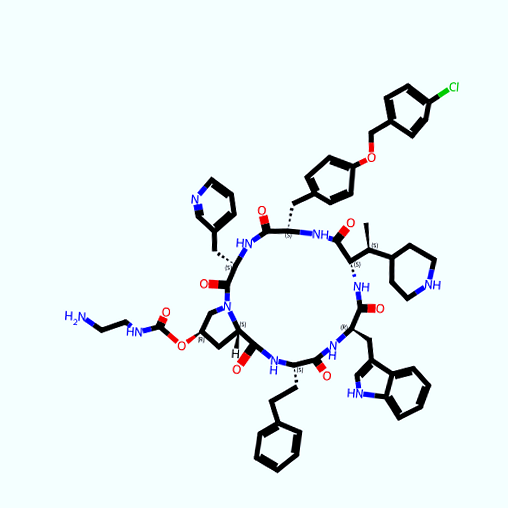 C[C@@H](C1CCNCC1)[C@@H]1NC(=O)[C@@H](Cc2c[nH]c3ccccc23)NC(=O)[C@H](CCc2ccccc2)NC(=O)[C@@H]2C[C@@H](OC(=O)NCCN)CN2C(=O)[C@H](Cc2cccnc2)NC(=O)[C@H](Cc2ccc(OCc3ccc(Cl)cc3)cc2)NC1=O